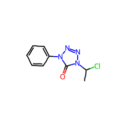 CC(Cl)n1nnn(-c2ccccc2)c1=O